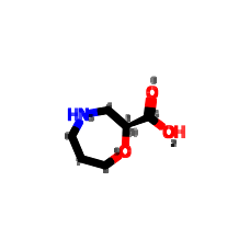 O=C(O)[C@@H]1CNCCCO1